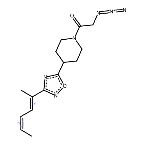 C/C=C\C=C(/C)c1noc(C2CCN(C(=O)CN=[N+]=[N-])CC2)n1